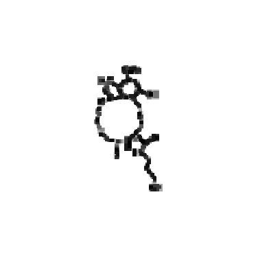 COc1cc(O)c2c(c1C)C(=O)OCCCCC(=S)N[C@H](C(=O)NCCCO)CSC2